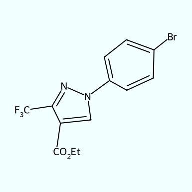 CCOC(=O)c1cn(-c2ccc(Br)cc2)nc1C(F)(F)F